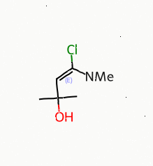 CN/C(Cl)=C\C(C)(C)O